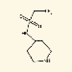 O=S(=O)(CC(F)(F)F)NC1CCNCC1